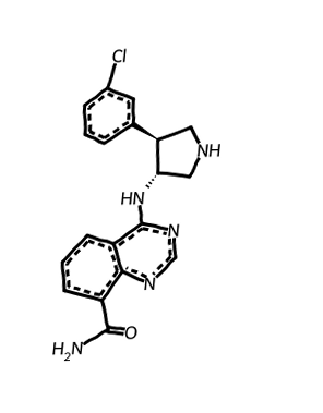 NC(=O)c1cccc2c(N[C@H]3CNC[C@@H]3c3cccc(Cl)c3)ncnc12